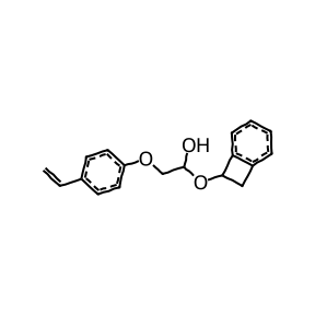 C=Cc1ccc(OCC(O)OC2Cc3ccccc32)cc1